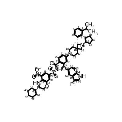 CC(C)c1ccccc1[C@@H]1CCC[C@@H]1N1CC2(CCN(c3ccc(C(=O)NS(=O)(=O)c4cc5c(c([N+](=O)[O-])c4)N[C@@H](C4CCCCC4)CO5)c(Oc4cnc5[nH]cc(F)c5c4)c3)CC2)C1